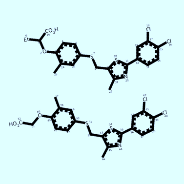 CCC(Oc1ccc(SCc2sc(-c3ccc(Cl)c(Cl)c3)nc2C)cc1C)C(=O)O.Cc1cc(SCc2sc(-c3ccc(Cl)c(Cl)c3)nc2C)ccc1OCC(=O)O